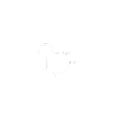 O=C1CN=Cc2ccsc2N1